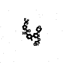 Cc1ccc(NC(=O)N2CC[C@@H](CC(F)(F)F)C2)cc1-c1cc(O[C@@H](C)CO)nc(N2CCOCC2)c1